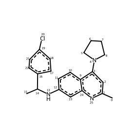 Cc1cc(N2CCCC2)c2ccc(NC(C)c3ccc(Cl)cc3)cc2n1